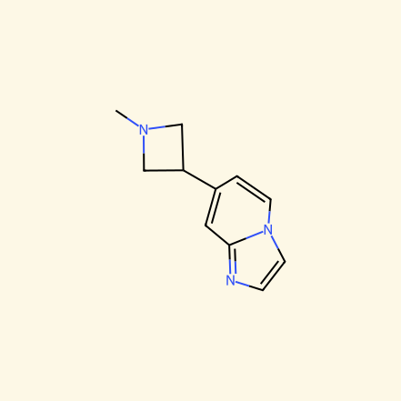 CN1CC(c2ccn3ccnc3c2)C1